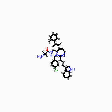 C/C=C(/C[C@@H](NC(=O)C(C)(C)N)C1=C=CCN=C(CCCc2c[nH]c3ccccc23)N1Cc1ccc(Br)cc1)c1ccccc1C